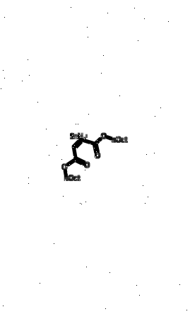 CCCCCCCCOC(=O)/C=C\C(=O)OCCCCCCCC.[SnH2]